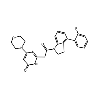 O=C(Cc1nc(N2CCOCC2)cc(=O)[nH]1)N1CCc2c(-c3ccccc3F)cccc21